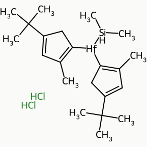 CC1=[C]([Hf]([C]2=C(C)C=C(C(C)(C)C)C2)[SiH](C)C)CC(C(C)(C)C)=C1.Cl.Cl